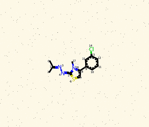 CC(C)=NN=c1scc(-c2cccc(Cl)c2)n1C